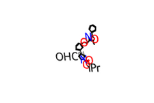 Cc1oc(-c2ccccc2)nc1COc1cccc([C@@H]2CN(C(=O)OC(C)C)CC2C=O)c1